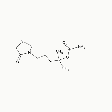 CC(C)(CCCN1CSCC1=O)OC(N)=O